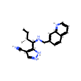 CC[C@@H](C)C(NCc1ccc2cccnc2c1)c1[nH]ncc1C#N